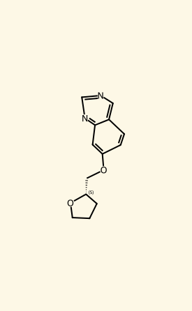 c1ncc2ccc(OC[C@@H]3CCCO3)cc2n1